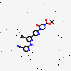 CC(C)(C)OC(=O)N1CCN(c2ccc(-c3cc(C4CC4)cc(Nc4cc(C#N)ccn4)n3)cn2)C(=O)C1